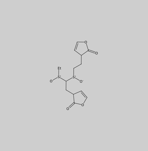 CC[S+]([O-])C(CC1C=COC1=O)[S+]([O-])CCC1C=COC1=O